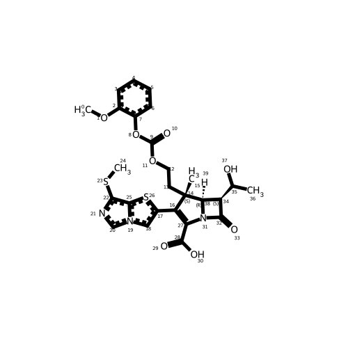 COc1ccccc1OC(=O)OCC[C@@]1(C)C(c2cn3cnc(SC)c3s2)=C(C(=O)O)N2C(=O)[C@H](C(C)O)[C@@H]21